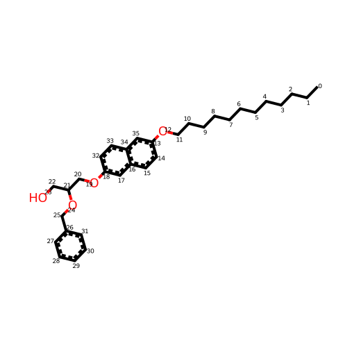 CCCCCCCCCCCCOc1ccc2cc(OCC(CO)OCc3ccccc3)ccc2c1